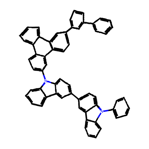 c1ccc(-c2cccc(-c3ccc4c(c3)c3ccccc3c3ccc(-n5c6ccccc6c6cc(-c7ccc8c(c7)c7ccccc7n8-c7ccccc7)ccc65)cc34)c2)cc1